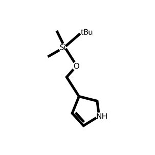 CC(C)(C)[Si](C)(C)OCC1C=CNC1